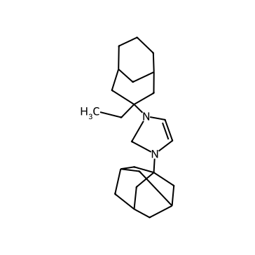 CCC1(N2C=CN(C34CC5CC(CC(C5)C3)C4)C2)CC2CCCC(C2)C1